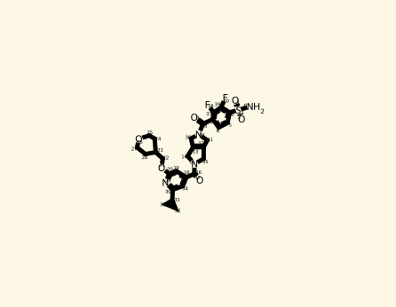 NS(=O)(=O)c1ccc(C(=O)N2CC3=C(CN(C(=O)c4cc(OCC5CCOCC5)nc(C5CC5)c4)C3)C2)c(F)c1F